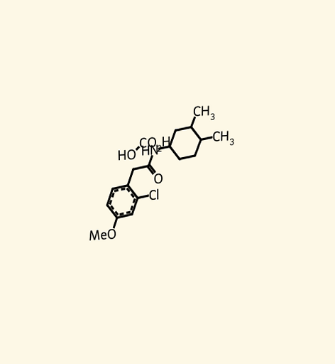 COc1ccc(CC(=O)NC2CCC(C)C(C)C2)c(Cl)c1.O=C(O)O